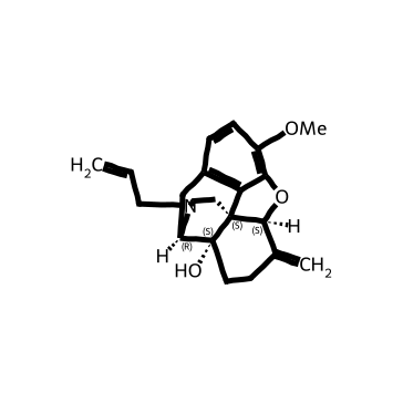 C=CCN1CC[C@]23c4c5ccc(OC)c4O[C@H]2C(=C)CC[C@@]3(O)[C@H]1C5